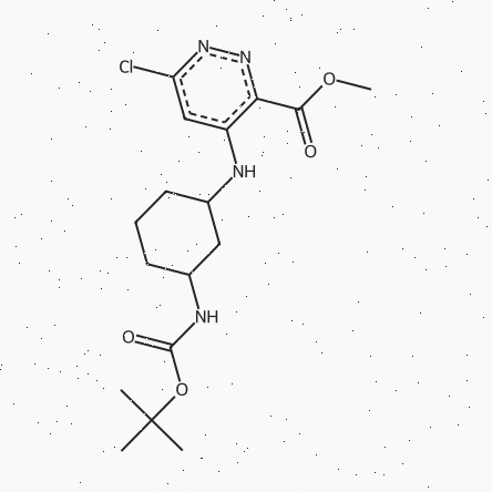 COC(=O)c1nnc(Cl)cc1NC1CCCC(NC(=O)OC(C)(C)C)C1